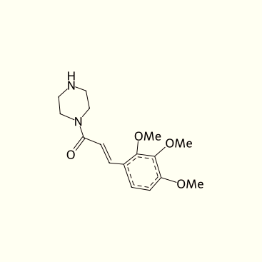 COc1ccc(C=CC(=O)N2CCNCC2)c(OC)c1OC